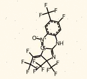 O=[N+]([O-])c1cc(C(F)(F)F)c(F)cc1NC1=NC(C(F)(F)F)(C(F)(F)F)C(=C(F)C(F)(F)F)S1